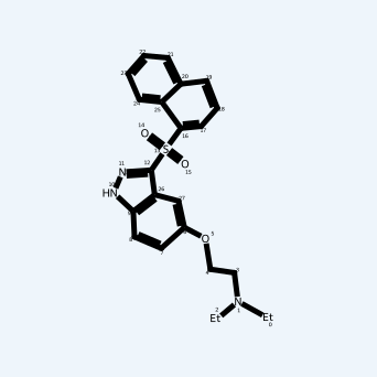 CCN(CC)CCOc1ccc2[nH]nc(S(=O)(=O)c3cccc4ccccc34)c2c1